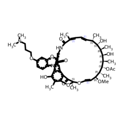 CO[C@H]1/C=C/O[C@@]2(C)Oc3c(C)c(O)c4c(=O)c(c5oc6cc(OCCCN(C)C)ccc6nc-5c4c3C2=O)NC(=O)/C(C)=C\C=C\[C@H](C)[C@H](O)[C@@H](C)[C@@H](O)[C@@H](C)[C@H](OC(C)=O)[C@@H]1C